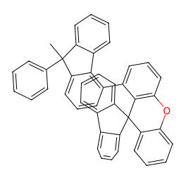 CC1(c2ccccc2)c2ccccc2-c2c(-c3cccc4c3C3(c5ccccc5O4)c4ccccc4-c4ccccc43)cccc21